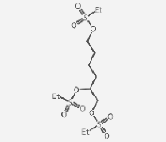 CCS(=O)(=O)OCCCCC(COS(=O)(=O)CC)OS(=O)(=O)CC